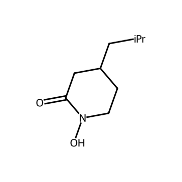 CC(C)CC1CCN(O)C(=O)C1